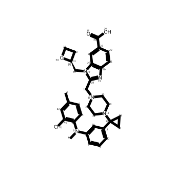 Cc1ccc(N(C)c2cccc(C3(N4CCN(Cc5nc6ccc(C(=O)O)cc6n5C[C@@H]5CCO5)CC4)CC3)c2)c(Cl)c1